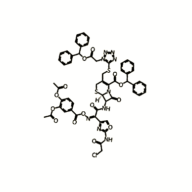 CC(=O)Oc1ccc(C(=O)O/N=C(\C(=O)N[C@@H]2C(=O)N3C(C(=O)OC(c4ccccc4)c4ccccc4)=C(CSc4nnnn4CC(=O)OC(c4ccccc4)c4ccccc4)CS[C@H]23)c2coc(NC(=O)CCl)n2)cc1OC(C)=O